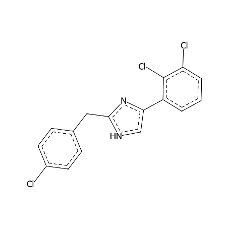 Clc1ccc(Cc2nc(-c3cccc(Cl)c3Cl)c[nH]2)cc1